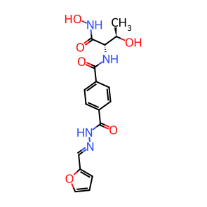 C[C@@H](O)[C@H](NC(=O)c1ccc(C(=O)N/N=C/c2ccco2)cc1)C(=O)NO